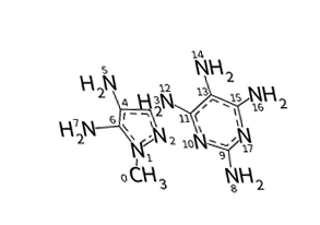 Cn1ncc(N)c1N.Nc1nc(N)c(N)c(N)n1